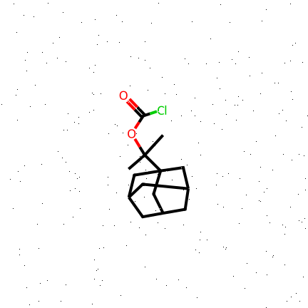 CC(C)(OC(=O)Cl)C12CC3CC(CC(C3)C1)C2